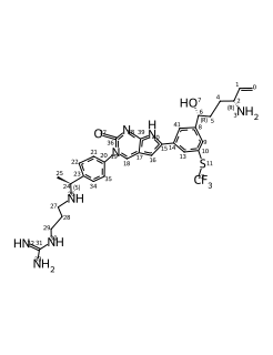 C=C[C@H](N)CC[C@@H](O)c1cc(SC(F)(F)F)cc(-c2cc3cn(-c4ccc([C@H](C)NCCCNC(=N)N)cc4)c(=O)nc3[nH]2)c1